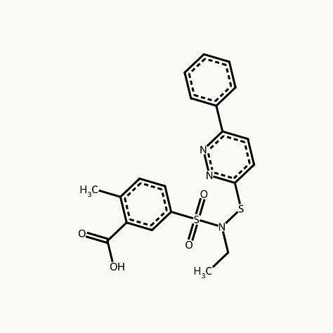 CCN(Sc1ccc(-c2ccccc2)nn1)S(=O)(=O)c1ccc(C)c(C(=O)O)c1